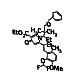 CCOC(=O)c1cn(C(CC)C(C)(C)COCc2ccccc2)c(/C(=C/c2c(C)ccc(OC)c2OC(F)F)CC)cc1=O